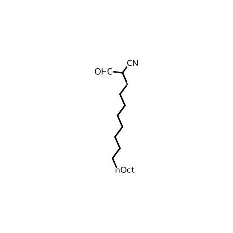 CCCCCCCCCCCCCCCCC(C#N)C=O